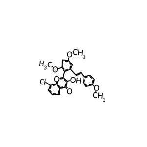 COc1ccc(C=Cc2cc(OC)cc(OC)c2-c2oc3c(Cl)cccc3c(=O)c2O)cc1